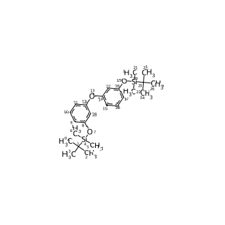 CC(C)(C)[Si](C)(C)Oc1cccc(Oc2cccc(O[Si](C)(C)C(C)(C)C)c2)c1